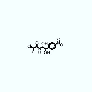 O=C(N[C@H](O)[C@H](O)c1ccc([N+](=O)[O-])cc1)C(Cl)Cl